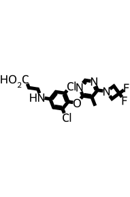 Cc1c(Oc2c(Cl)cc(NCCC(=O)O)cc2Cl)ncnc1N1CC(F)(F)C1